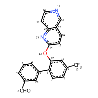 O=Cc1cccc(-c2ccc(C(F)(F)F)cc2Oc2ccc3cnccc3n2)c1